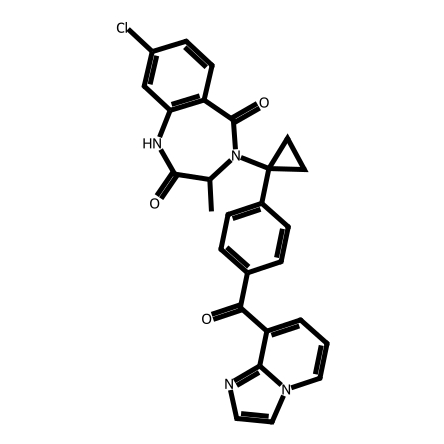 CC1C(=O)Nc2cc(Cl)ccc2C(=O)N1C1(c2ccc(C(=O)c3cccn4ccnc34)cc2)CC1